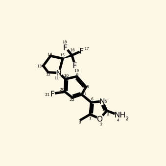 Cc1oc(N)nc1-c1ccc(N2CCC[C@H]2C(F)(F)F)c(F)c1